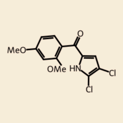 COc1ccc(C(=O)c2cc(Cl)c(Cl)[nH]2)c(OC)c1